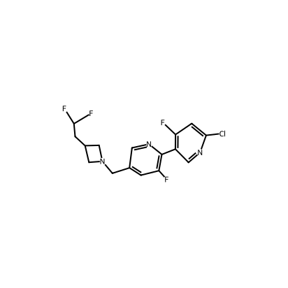 Fc1cc(Cl)ncc1-c1ncc(CN2CC(CC(F)F)C2)cc1F